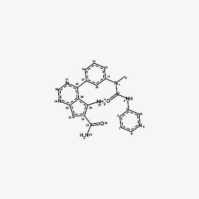 CN(C(=O)Nc1cccnc1)c1cccc(-c2ncnc3sc(C(N)=O)c(N)c23)c1